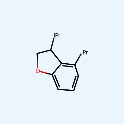 CC(C)c1cccc2c1C(C(C)C)CO2